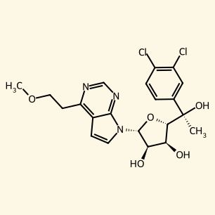 COCCc1ncnc2c1ccn2[C@@H]1O[C@H]([C@](C)(O)c2ccc(Cl)c(Cl)c2)[C@@H](O)[C@H]1O